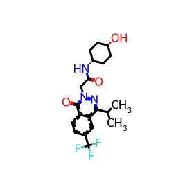 CC(C)c1nn(CC(=O)N[C@H]2CC[C@H](O)CC2)c(=O)c2ccc(C(F)(F)F)cc12